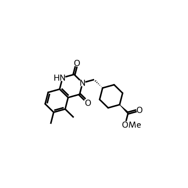 COC(=O)[C@H]1CC[C@H](Cn2c(=O)[nH]c3ccc(C)c(C)c3c2=O)CC1